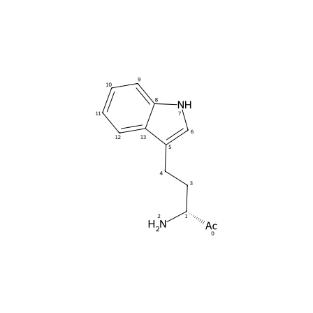 CC(=O)[C@H](N)CCc1c[nH]c2ccccc12